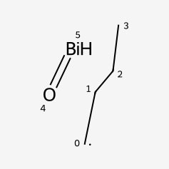 [CH2]CCC.[O]=[BiH]